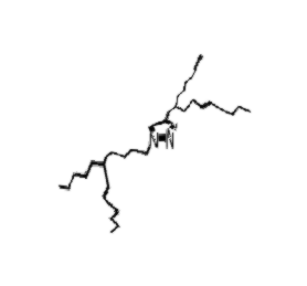 CCCCCCCC(CCCCCC)Cc1cn(CCCCC(CCCCC)CCCCCC)nn1